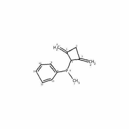 C=C1CC(=C)C1P(C)c1ccccc1